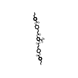 CCCc1ccc(C(=O)OC2CCC(CCC(=O)Oc3ccc(OC(=O)CCC4CCC(OC(=O)c5ccc(CCC)cc5)CC4)c(C(=O)OC)c3)CC2)cc1